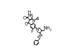 NCC1CN(c2cc3c(cc2F)c(=O)c2c(=O)[nH]sc2n3C2CC2)C/C1=N\OCc1ccccc1